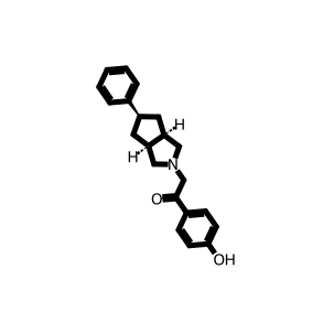 O=C(CN1C[C@H]2C[C@@H](c3ccccc3)C[C@H]2C1)c1ccc(O)cc1